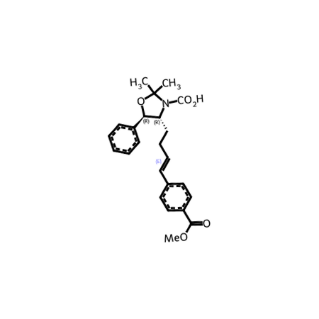 COC(=O)c1ccc(/C=C/CC[C@@H]2[C@@H](c3ccccc3)OC(C)(C)N2C(=O)O)cc1